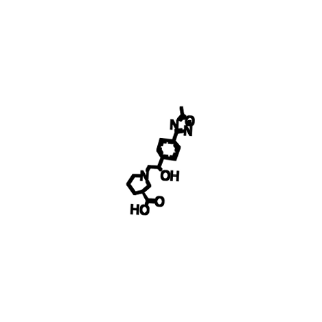 Cc1nc(-c2ccc(C(O)CN3CCC[C@H](C(=O)O)C3)cc2)no1